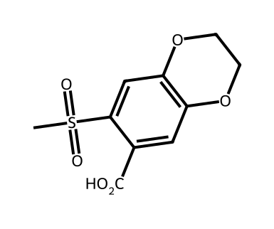 CS(=O)(=O)c1cc2c(cc1C(=O)O)OCCO2